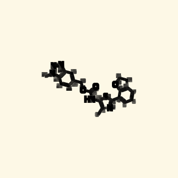 Cc1nc(-c2cccc3c2OCC3)sc1NC(=O)OCc1ccc2c(c1)nnn2C